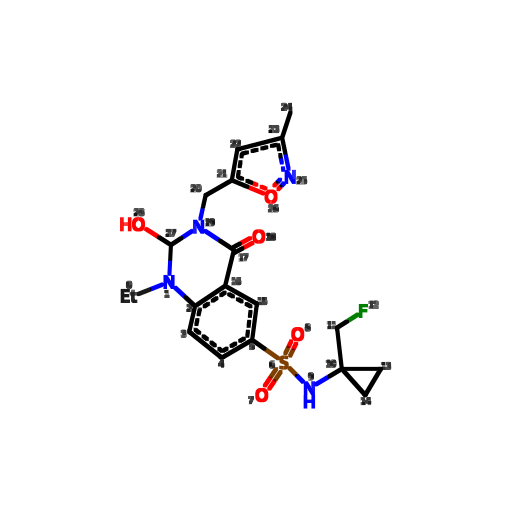 CCN1c2ccc(S(=O)(=O)NC3(CF)CC3)cc2C(=O)N(Cc2cc(C)no2)C1O